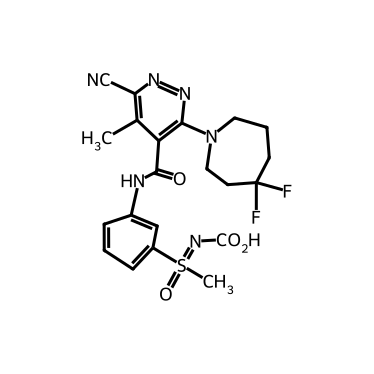 Cc1c(C#N)nnc(N2CCCC(F)(F)CC2)c1C(=O)Nc1cccc(S(C)(=O)=NC(=O)O)c1